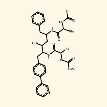 COC(=O)NC(C(=O)NC(Cc1ccc(-c2cccnc2)cc1)C(O)CC(Cc1ccccc1)NC(=O)C(NC(=O)C(C)=O)C(C)(C)C)C(C)(C)C